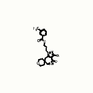 CCc1nn(CCCOC(=O)c2cccc(C)c2)c2c1C(=O)NCC1(CCOCC1)C2